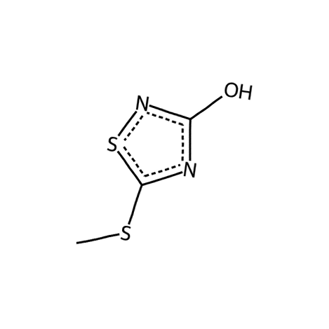 CSc1nc(O)ns1